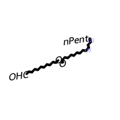 CCCCC/C=C\C/C=C\CCCCCCCC(=O)OCCCCCCCCCCC=O